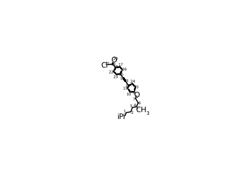 CC(C)CCCC(C)CCOc1ccc(C#Cc2ccc(C(=O)Cl)cc2)cc1